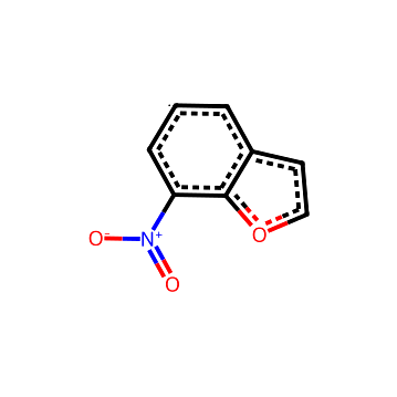 O=[N+]([O-])c1c[c]cc2ccoc12